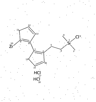 C[Si](C)(Cl)CCC1=C(C2=[C]([Zr])CC=C2)CC=C1.Cl.Cl